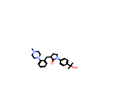 CN1CCN(c2ccccc2CC2CCN(c3ccc(C(C)(C)O)cc3)C2=O)CC1